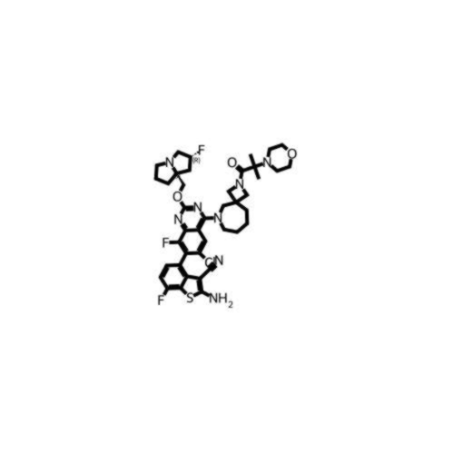 CC(C)(C(=O)N1CC2(CCCCN(c3nc(OC[C@@]45CCCN4C[C@H](F)C5)nc4c(F)c(-c5ccc(F)c6sc(N)c(C#N)c56)c(Cl)cc34)C2)C1)N1CCOCC1